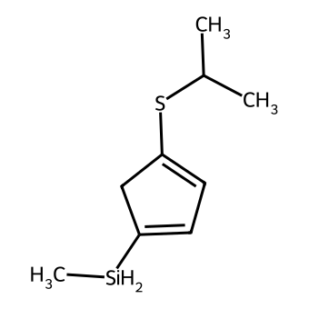 C[SiH2]C1=CC=C(SC(C)C)C1